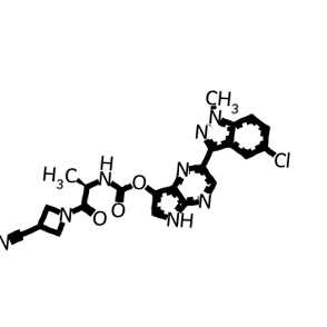 C[C@@H](NC(=O)Oc1c[nH]c2ncc(-c3nn(C)c4ccc(Cl)cc34)nc12)C(=O)N1CC(C#N)C1